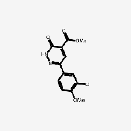 COC(=O)c1cc(-c2ccc(OC)c(Cl)c2)n[nH]c1=O